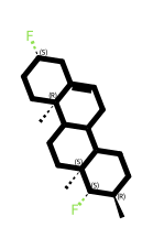 C[C@@H]1CCC2C3CC=C4C[C@@H](F)CC[C@]4(C)C3CC[C@]2(C)[C@H]1F